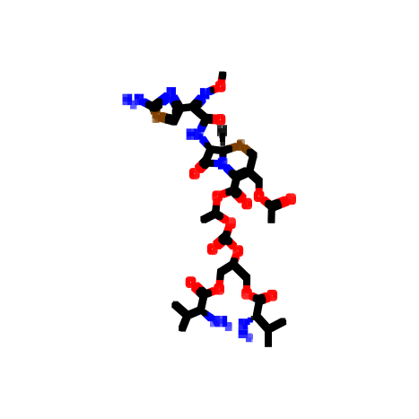 CO/N=C(\C(=O)N[C@@H]1C(=O)N2C(C(=O)OC(C)OC(=O)OC(COC(=O)[C@@H](N)C(C)C)COC(=O)[C@@H](N)C(C)C)=C(COC(C)=O)CS[C@H]12)c1csc(N)n1